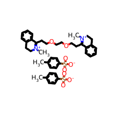 C[N+]1=C(CCOCCOCCC2=[N+](C)CCc3ccccc32)c2ccccc2CC1.Cc1ccc(S(=O)(=O)[O-])cc1.Cc1ccc(S(=O)(=O)[O-])cc1